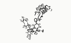 O=C(Nc1ccc(OC(F)=C(F)C(F)(F)C(F)(F)C(F)(F)C(F)(F)F)cc1NC(=O)Oc1ccccc1)Oc1ccccc1